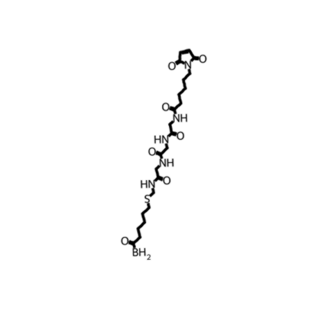 BC(=O)CCCCCSCNC(=O)CNC(=O)CNC(=O)CNC(=O)CCCCCN1C(=O)C=CC1=O